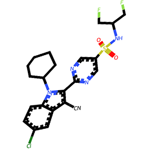 N#Cc1c(-c2ncc(S(=O)(=O)NC(CF)CF)cn2)n(C2CCCCC2)c2ccc(Cl)cc12